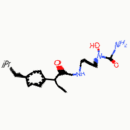 CC(C)Cc1ccc(C(C)C(=O)NCCN(O)C(N)=O)cc1